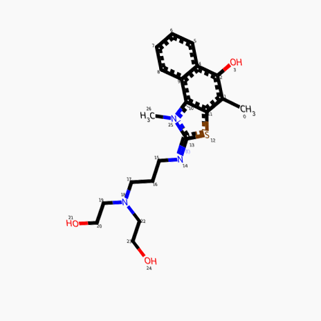 Cc1c(O)c2ccccc2c2c1s/c(=N/CCCN(CCO)CCO)n2C